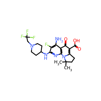 CC1(C)CCc2c(C(=O)O)c(=O)c3c(N)c(F)c(NC4CCN(CC(F)(F)F)CC4)nc3n21